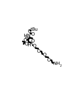 CC(C)(C)OC(=O)N[C@H]1CO[C@H](COCCOCCOCCOCCN)[C@@H]2OC(C)(C)O[C@@H]21